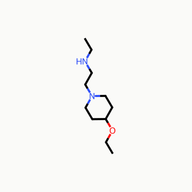 CCNCCN1CCC(OCC)CC1